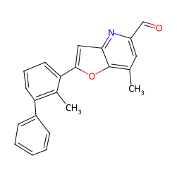 Cc1c(-c2ccccc2)cccc1-c1cc2nc(C=O)cc(C)c2o1